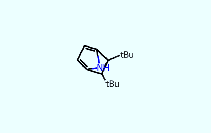 CC(C)(C)C1c2ccc([nH]2)C1C(C)(C)C